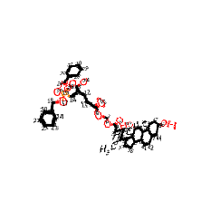 C[C@H](CCC(=O)OCOC(=O)CCC(CP(=O)(OCc1ccccc1)OCc1ccccc1)C(=O)O)C1CCC2C3CCC4C[C@H](O)CC[C@]4(C)C3C[C@H](O)[C@@]21C